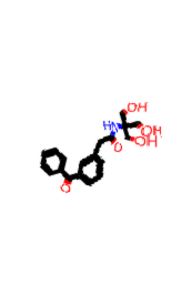 O=C(Cc1cccc(C(=O)c2ccccc2)c1)NC(CO)(CO)CO